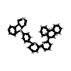 C1=CC2C(C=N1)c1ccccc1N2c1ccc(-c2cccc(-c3cccc(-c4cc5ccccc5c5ccccc45)n3)n2)cc1